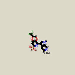 CC(=O)Nc1cc2c(-c3nc(S(C)(=O)=O)cc4c3OCC(C(F)F)O4)cn(C)c2cn1